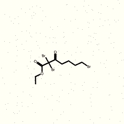 CCOC(=O)C(Br)(Br)C(=O)CCCCBr